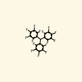 Fc1c(F)c(F)c(C(c2c(F)c(F)c(F)c(F)c2F)c2c(F)c(F)c(F)c(F)c2F)c(F)c1F